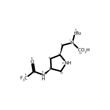 CC(C)(C)N(C[C@@H]1C[C@H](NC(=O)C(F)(F)F)CN1)C(=O)O